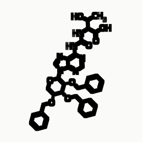 CC(O)C(NC(=O)Nc1ncnc2c1ncn2C1OC[C@@H](OCc2ccccc2)[C@H](OCc2ccccc2)[C@H]1OCc1ccccc1)C(=O)O